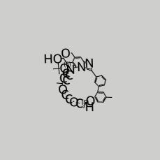 Cc1ccc2c(c1)-c1cccc(c1)-c1cn3c(c([C@H](OC(C)(C)C)C(=O)O)c(C)cc3n1)N1CCC(C)(CC1)OCCOC[C@H](C)O2